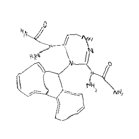 NC(=O)N(N)C1=CNN=C(N(N)C(N)=O)N1C1c2ccccc2-c2ccccc21